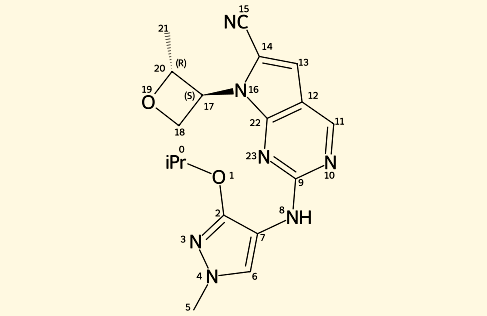 CC(C)Oc1nn(C)cc1Nc1ncc2cc(C#N)n([C@H]3CO[C@@H]3C)c2n1